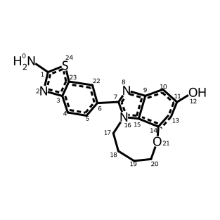 Nc1nc2ccc(-c3nc4cc(O)cc5c4n3CCCCO5)cc2s1